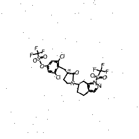 O=C1[C@H](Cc2c(Cl)cc(OS(=O)(=O)C(F)(F)F)cc2Cl)CCN1C1CCc2cnn(S(=O)(=O)C(F)(F)F)c2C1